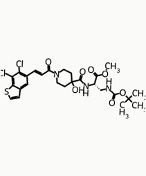 COC(=O)[C@H](CNC(=O)OC(C)(C)C)NC(=O)C1(O)CCN(C(=O)C=Cc2cc3ccsc3c(Cl)c2Cl)CC1